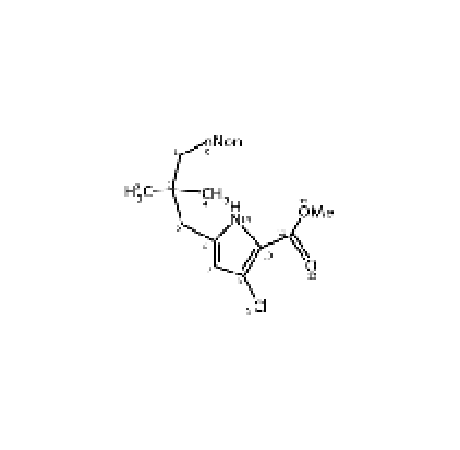 CCCCCCCCCCC(C)(C)Cc1cc(Cl)c(C(=O)OC)[nH]1